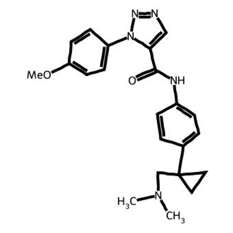 COc1ccc(-n2nncc2C(=O)Nc2ccc(C3(CN(C)C)CC3)cc2)cc1